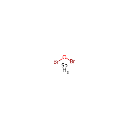 BrOBr.[SbH3]